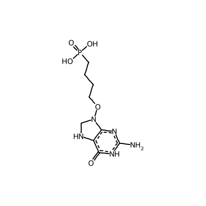 Nc1nc2c(c(=O)[nH]1)NCN2OCCCCP(=O)(O)O